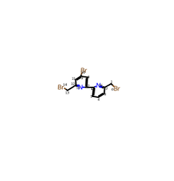 BrCc1cccc(-c2cc(Br)cc(CBr)n2)n1